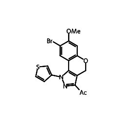 COc1cc2c(cc1Br)-c1c(c(C(C)=O)nn1-c1ccsc1)CO2